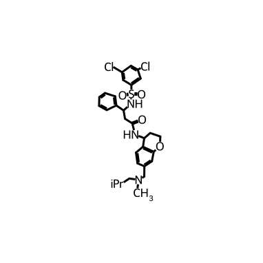 CC(C)CN(C)Cc1ccc2c(c1)OCCC2NC(=O)CC(NS(=O)(=O)c1cc(Cl)cc(Cl)c1)c1ccccc1